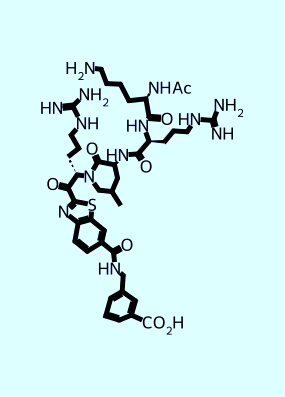 CC(=O)N[C@@H](CCCCN)C(=O)N[C@@H](CCCNC(=N)N)C(=O)N[C@H]1CC(C)CN([C@@H](CCCNC(=N)N)C(=O)c2nc3ccc(C(=O)NCc4cccc(C(=O)O)c4)cc3s2)C1=O